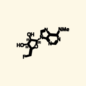 CNc1ncnc2c1ncn2[C@@H]1OC(=CF)[C@@H](O)[C@H]1O